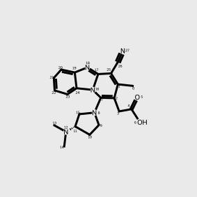 Cc1c(CC(=O)O)c(N2CC[C@H](N(C)C)C2)n2c(nc3ccccc32)c1C#N